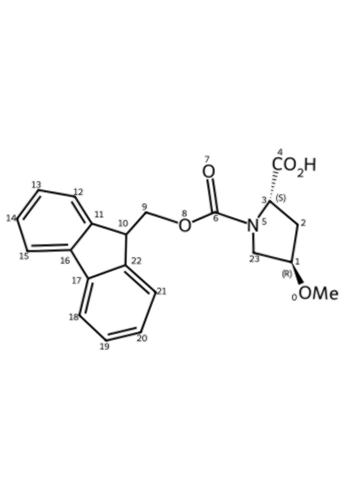 CO[C@@H]1C[C@@H](C(=O)O)N(C(=O)OCC2c3ccccc3-c3ccccc32)C1